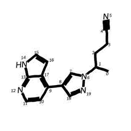 CC(CCC#N)n1cc(-c2ccnc3[nH]ccc23)cn1